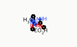 Cc1nc2c(Oc3cccc(C(=O)O)c3)nc(Oc3cc(C(=N)N)ccc3Oc3ccccc3)nc2n1Cc1ccccc1